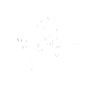 C#CCCC(=O)N(NC(=O)CNC1CC1)[C@@H](Cc1ccccc1)[C@H](O)CN(CC(C)C)S(=O)(=O)c1ccc2c(c1)OCO2